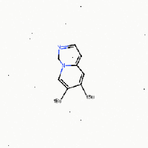 CC(C)(C)C1=CC2=CC=NCN2C=C1C(C)(C)C